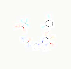 CC(C)n1c(N2CCC(NC(=O)CN)C2)nc(OCc2ccc(F)cc2F)c(Br)c1=O.O=C(O)C(F)(F)F